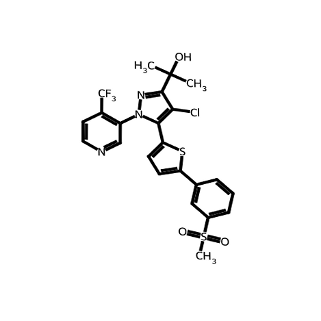 CC(C)(O)c1nn(-c2cnccc2C(F)(F)F)c(-c2ccc(-c3cccc(S(C)(=O)=O)c3)s2)c1Cl